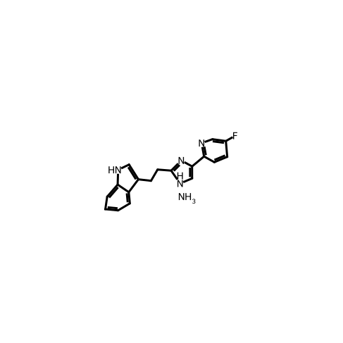 Fc1ccc(-c2c[nH]c(CCc3c[nH]c4ccccc34)n2)nc1.N